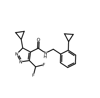 O=C(NCc1ccccc1C1CC1)C1=C(C(F)F)N=NC1C1CC1